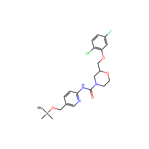 CC(C)(C)[Si](C)(C)OCc1ccc(NC(=O)N2CCOC(COc3cc(F)ccc3Cl)C2)nc1